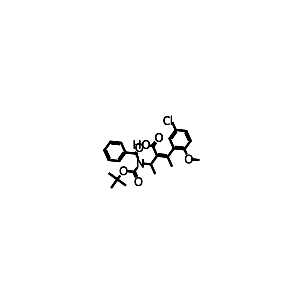 COc1ccc(Cl)cc1C(C)=C(C(=O)O)C(C)N(C(=O)OC(C)(C)C)C(=O)c1ccccc1